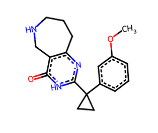 COc1cccc(C2(c3nc4c(c(=O)[nH]3)CNCCC4)CC2)c1